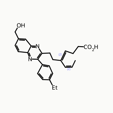 C/C=C\C(=C/CCC(=O)O)CCc1nc2cc(CO)ccc2nc1-c1ccc(CC)cc1